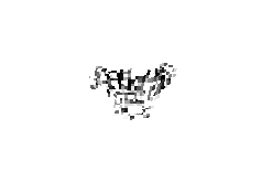 CCC1(OC(O)C(C)(C)CC)CC2CCCC(C(=O)NS(=O)(=O)C(F)(F)F)(C2)C1